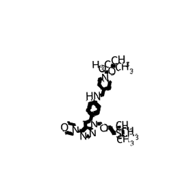 CC(C)(C)OC(=O)N1CCC(CNc2ccc(-c3cc4c(N5CCOCC5)ncnc4n3COCC[Si](C)(C)C)cc2)CC1